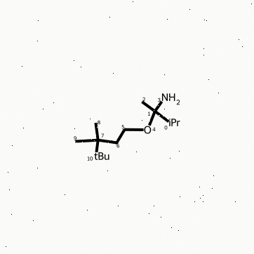 CC(C)C(C)(N)OCCC(C)(C)C(C)(C)C